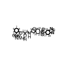 CNS(=O)(=O)c1ccccc1OC[C@@H](O)CNC1COC2(CCN(S(=O)(=O)c3ccc4nsnc4c3)CC2)C1